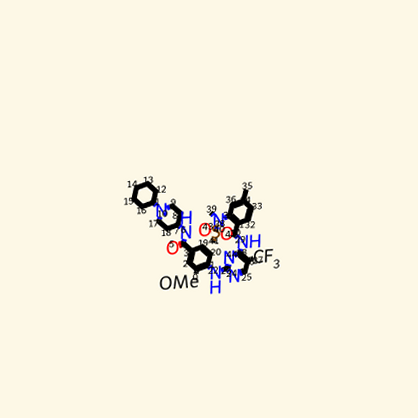 COc1cc(C(=O)NC2CCN(C3CCCCC3)CC2)ccc1Nc1ncc(C(F)(F)F)c(NCc2ccc(C)cc2N(C)S(C)(=O)=O)n1